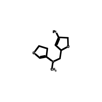 CC(C)C1=CC(CN(C)C2=COCC2)OC1